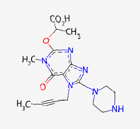 CC#CCn1c(N2CCNCC2)nc2nc(OC(C)C(=O)O)n(C)c(=O)c21